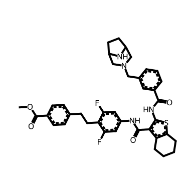 COC(=O)c1ccc(CCc2c(F)cc(NC(=O)c3c(NC(=O)c4cccc(CN5CC6CCC(C5)N6)c4)sc4c3CCCC4)cc2F)cc1